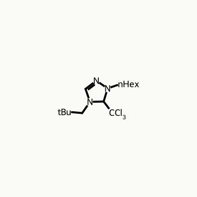 CCCCCCN1N=CN(CC(C)(C)C)C1C(Cl)(Cl)Cl